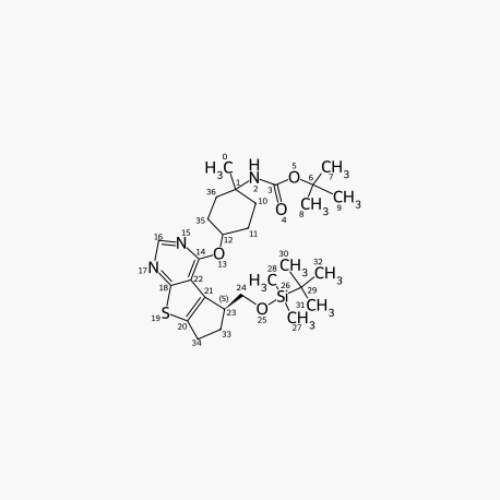 CC1(NC(=O)OC(C)(C)C)CCC(Oc2ncnc3sc4c(c23)[C@@H](CO[Si](C)(C)C(C)(C)C)CC4)CC1